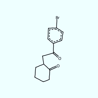 O=C(CC1CCCCC1=O)c1ccc(Br)cc1